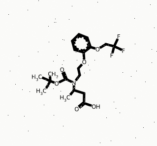 CC(CC(=O)O)N(CCOc1ccccc1OCC(F)(F)F)C(=O)OC(C)(C)C